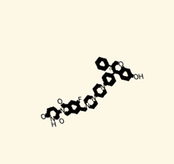 O=C1CCC(N2Cc3cc(CN4CCN(C5CCN(c6ccc([C@@H]7c8ccc(O)cc8OC[C@@H]7c7ccccc7)cc6)CC5)CC4)c(F)cc3C2=O)C(=O)N1